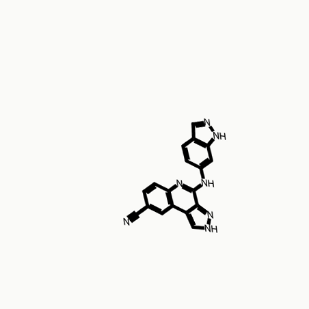 N#Cc1ccc2nc(Nc3ccc4cn[nH]c4c3)c3n[nH]cc3c2c1